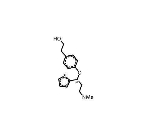 CNCC[C@H](Oc1ccc(CCO)cc1)c1cccs1